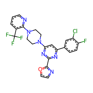 Fc1ccc(-c2cc(N3CCN(c4ncccc4C(F)(F)F)CC3)nc(-c3ncco3)n2)cc1Cl